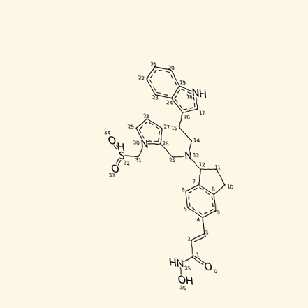 O=C(C=Cc1ccc2c(c1)CCC2N(CCc1c[nH]c2ccccc12)Cc1cccn1C[SH](=O)=O)NO